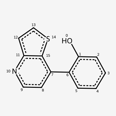 Oc1ccccc1-c1ccnc2ccsc12